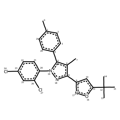 Cc1ccc(-c2c(C)c(-c3cc(C(C)(C)C)on3)nn2-c2ccc(Cl)cc2Cl)cc1